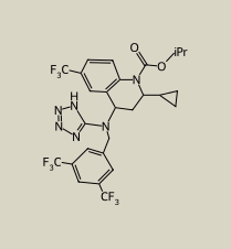 CC(C)OC(=O)N1c2ccc(C(F)(F)F)cc2C(N(Cc2cc(C(F)(F)F)cc(C(F)(F)F)c2)c2nnn[nH]2)CC1C1CC1